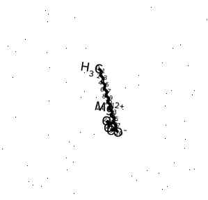 CCCCCCCCCCCCCCC=CC(CC(=O)[O-])C(=O)[O-].[Mg+2]